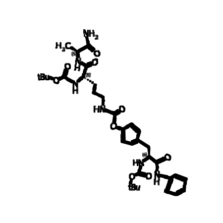 C[C@H](NC(=O)[C@H](CCCNC(=O)Oc1ccc(C[C@H](NC(=O)OC(C)(C)C)C(=O)Nc2ccccc2)cc1)NC(=O)OC(C)(C)C)C(N)=O